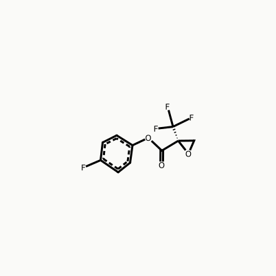 O=C(Oc1ccc(F)cc1)[C@@]1(C(F)(F)F)CO1